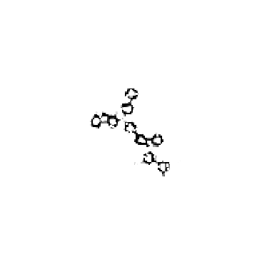 Cc1cc(-c2cc(-n3c4ccccc4c4cc(-c5ccc(N(c6ccc(-c7ccccc7)cc6)c6ccc7c(c6)C(C)(C)c6ccccc6-7)cc5)ccc43)cc(C(C)(C)C)c2)cc(C(C)(C)C)c1